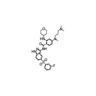 CN(C)CCCN(C)c1ccc(C(=O)Nc2n[nH]c3ccc(S(=O)(=O)c4cccc(F)c4)cc23)c(NC2CCOCC2)c1